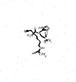 CC(=N)NCCCCC(N)(CC#N)C(=O)N(CS(C)(=O)=O)c1nnn[nH]1